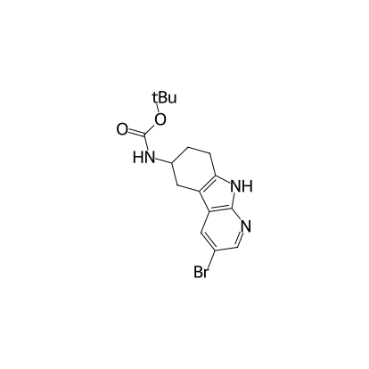 CC(C)(C)OC(=O)NC1CCc2[nH]c3ncc(Br)cc3c2C1